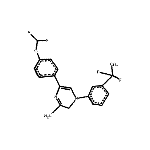 CC1=NC(c2ccc(OC(F)F)cc2)=CN(c2cccc(C(C)(F)F)c2)C1